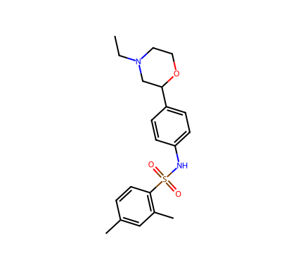 CCN1CCOC(c2ccc(NS(=O)(=O)c3ccc(C)cc3C)cc2)C1